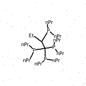 CCCP(CCC)C(CC)C(P(CCC)CCC)(P(CCC)CCC)P(CCC)CCC